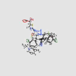 CC(C)(C)C[C@@H]1N[C@@H](C(=O)Nc2ncc(C(=O)O)s2)[C@H](c2cccc(Cl)c2F)[C@@]1(C#N)c1ccc(Cl)cc1F.CCN(CC)CC